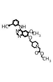 C#Cc1cccc(Nc2ncnc3cc(OCC4CCN(CC(=O)OCC)CC4)c(OC)cc23)c1